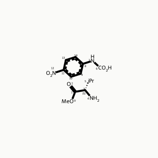 COC(=O)[C@@H](N)C(C)C.O=C(O)Nc1ccc([N+](=O)[O-])cc1